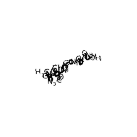 COc1cc(-c2cn(C)c(=O)c3cnccc23)c(OC)cc1CN1CCC(OC2CCN(CCn3cccc(CN4CCC(O)NC4=O)c3=O)CC2)CC1